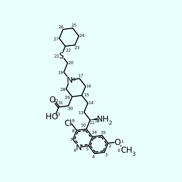 COc1ccc2ncc(Cl)c([C@H](N)CCC3CCN(CCSC4CCCCC4)CC3CC(=O)O)c2c1